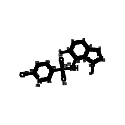 Cc1ccc2cnn(C)c2c1NS(=O)(=O)c1ccc(Cl)nc1